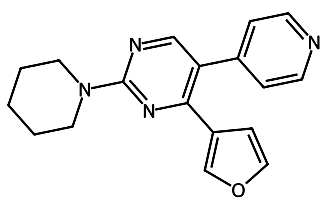 c1cc(-c2cnc(N3CCCCC3)nc2-c2ccoc2)ccn1